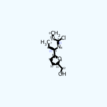 C=N/C(Cl)=N\C(=C/C)c1ccc(CO)o1